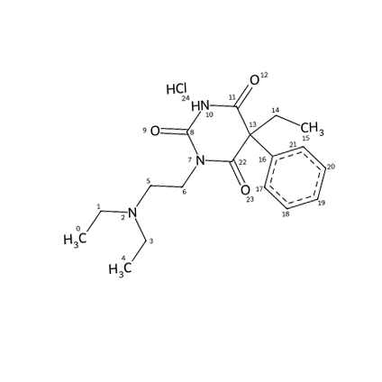 CCN(CC)CCN1C(=O)NC(=O)C(CC)(c2ccccc2)C1=O.Cl